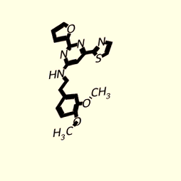 COc1ccc(CCNc2cc(-c3nccs3)nc(-c3ccco3)n2)cc1OC